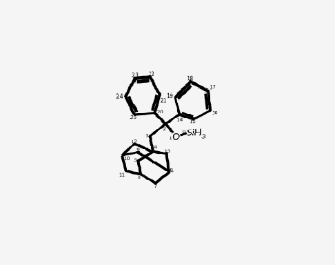 [SiH3]OC(CC12CC3CC(CC(C3)C1)C2)(c1ccccc1)c1ccccc1